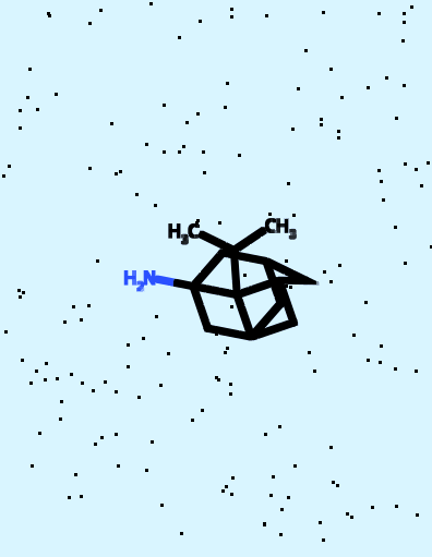 CC(C)C12C3CC4CC1(N)CC2(C4)C3